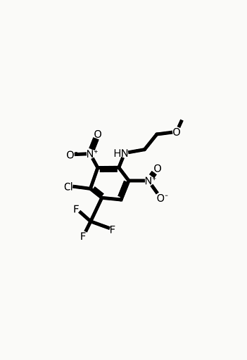 COCCNc1c([N+](=O)[O-])cc(C(F)(F)F)c(Cl)c1[N+](=O)[O-]